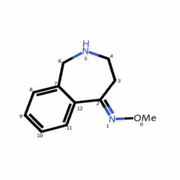 CO/N=C1\CCNCc2ccccc21